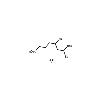 CCCCCCCCCCCCCC(CC(CC)C(C)(C)C)C(C)(C)C.O